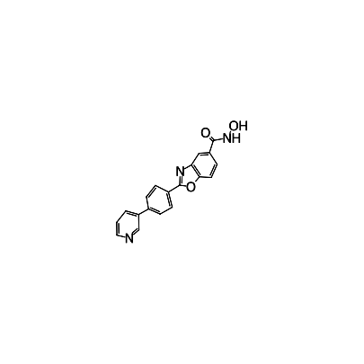 O=C(NO)c1ccc2oc(-c3ccc(-c4cccnc4)cc3)nc2c1